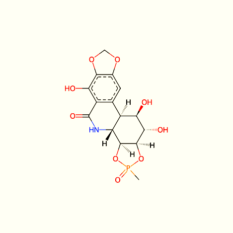 CP1(=O)O[C@@H]2[C@@H](O)[C@H](O)[C@@H]3c4cc5c(c(O)c4C(=O)N[C@H]3[C@@H]2O1)OCO5